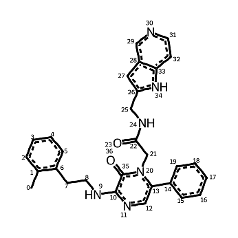 Cc1ccccc1CCNc1ncc(-c2ccccc2)n(CC(=O)NCc2cc3cnccc3[nH]2)c1=O